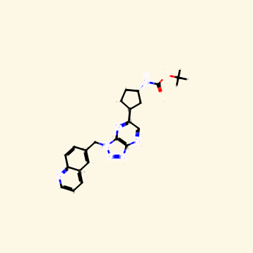 CC(C)(C)OC(=O)N[C@@H]1CCC(c2cnc3nnn(Cc4ccc5ncccc5c4)c3n2)C1